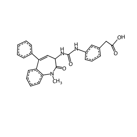 CN1C(=O)C(NC(=O)Nc2cccc(CC(=O)O)c2)C=C(c2ccccc2)c2ccccc21